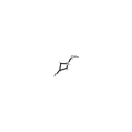 CON1CC(F)C1